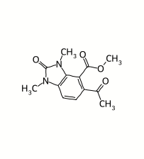 COC(=O)c1c(C(C)=O)ccc2c1n(C)c(=O)n2C